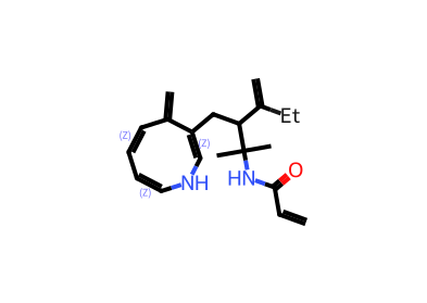 C=CC(=O)NC(C)(C)C(C/C1=C/N/C=C\C=C/C1=C)C(=C)CC